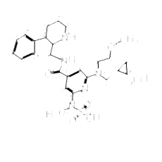 COCCN(C[C@H]1C[C@@H]1C)c1cc(C(=O)NCC2NCCCC2c2ccccc2)cc(N(C)S(C)(=O)=O)n1